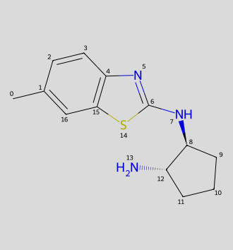 Cc1ccc2nc(N[C@H]3CCC[C@@H]3N)sc2c1